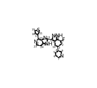 Fc1cc(-c2cccnc2)cc2c(-c3nc4c(-c5ccsc5)nccc4[nH]3)n[nH]c12